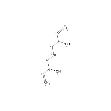 C=CC(O)CNCC(O)C=C